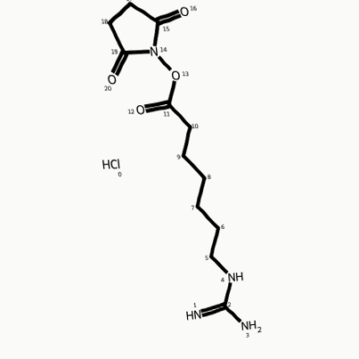 Cl.N=C(N)NCCCCCCC(=O)ON1C(=O)CCC1=O